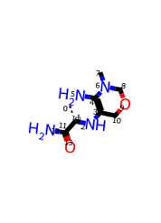 C[C@H](NC1=C(N)N(C)COC1)C(N)=O